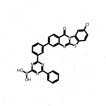 O=c1c2ccc(-c3cccc(-c4nc(B(O)O)nc(-c5ccccc5)n4)c3)cc2nc2sc3ccc(Cl)cc3n12